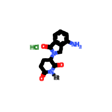 CCN1C(=O)CCC(N2Cc3c(N)cccc3C2=O)C1=O.Cl